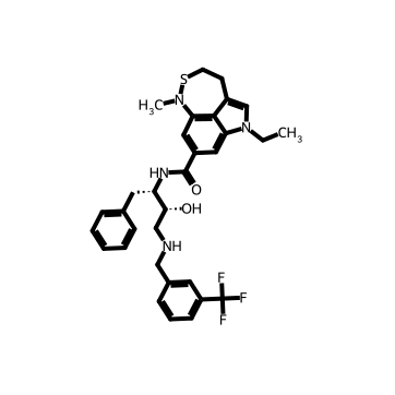 CCn1cc2c3c(cc(C(=O)N[C@@H](Cc4ccccc4)[C@H](O)CNCc4cccc(C(F)(F)F)c4)cc31)N(C)SCC2